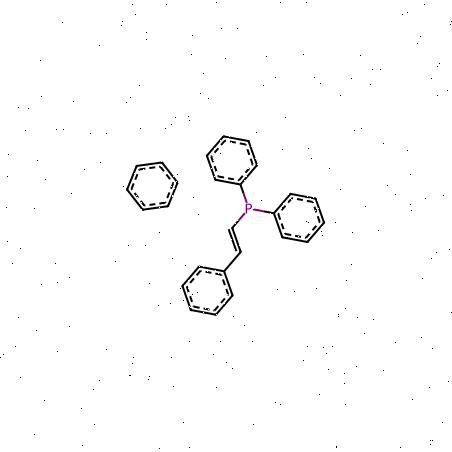 C(=CP(c1ccccc1)c1ccccc1)c1ccccc1.c1ccccc1